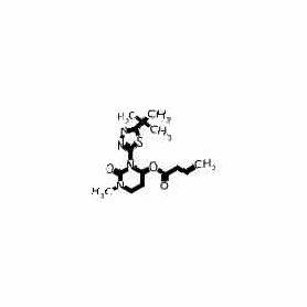 C=CCC(=O)OC1CCN(C)C(=O)N1c1nnc(C(C)(C)C)s1